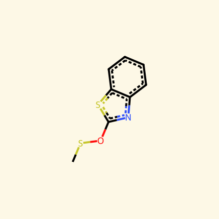 CSOc1nc2ccccc2s1